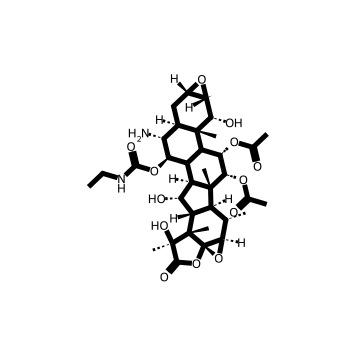 CCNC(=O)O[C@@H]1C2C([C@H](OC(C)=O)[C@H](OC(C)=O)[C@]3(C)[C@H]4[C@H](C)[C@H]5O[C@]56OC(=O)[C@@](C)(O)[C@]6(C)[C@@H]4[C@H](O)[C@@H]23)[C@]2(C)[C@H](C[C@@H]3O[C@@H]3[C@@H]2O)[C@H]1N